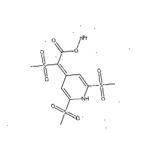 CCCOC(=O)C(=C1C=C(S(C)(=O)=O)NC(S(C)(=O)=O)=C1)S(C)(=O)=O